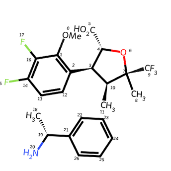 COc1c([C@H]2[C@H](C(=O)O)O[C@@](C)(C(F)(F)F)[C@H]2C)ccc(F)c1F.C[C@@H](N)c1ccccc1